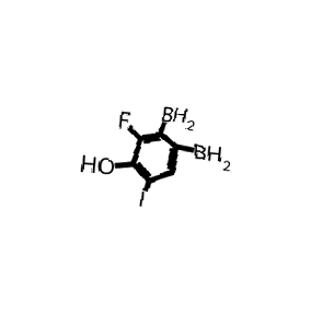 Bc1cc(I)c(O)c(F)c1B